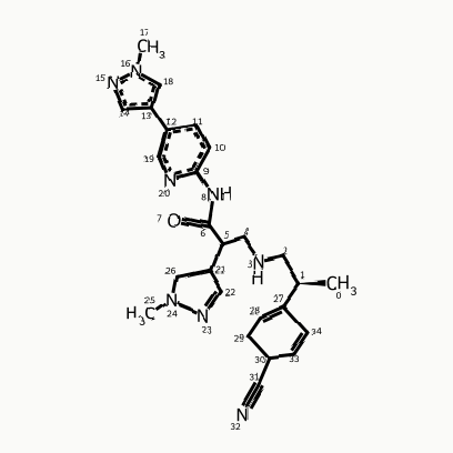 C[C@H](CNCC(C(=O)Nc1ccc(-c2cnn(C)c2)cn1)C1C=NN(C)C1)C1=CCC(C#N)C=C1